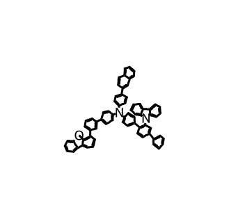 c1ccc(-c2ccc(-c3ccc(N(c4ccc(-c5cccc(-c6cccc7c6oc6ccccc67)c5)cc4)c4ccc(-c5ccc6ccccc6c5)cc4)cc3)c(-n3c4ccccc4c4ccccc43)c2)cc1